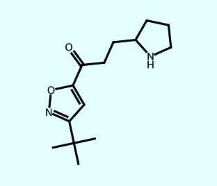 CC(C)(C)c1cc(C(=O)CCC2CCCN2)on1